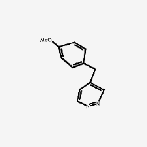 COc1ccc(Cc2ccnnc2)cc1